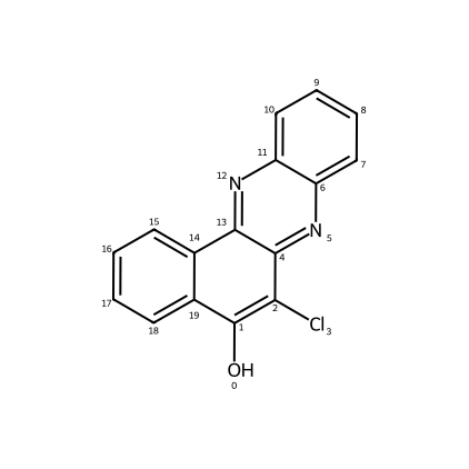 Oc1c(Cl)c2nc3ccccc3nc2c2ccccc12